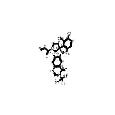 [2H]C([2H])([2H])n1cnc2cc(F)c(N[C@]3(c4c(F)ccc(Cl)c4Cl)CCN(C(=O)C=C)C3)cc2c1=O